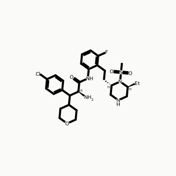 CC[C@H]1CNC[C@H](CCc2c(F)cccc2NC(=O)[C@@H](N)C(c2ccc(Cl)cc2)C2CCOCC2)N1S(C)(=O)=O